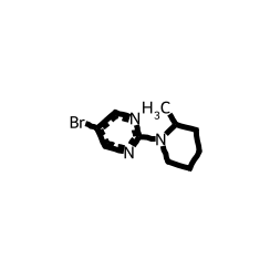 CC1CCCCN1c1ncc(Br)cn1